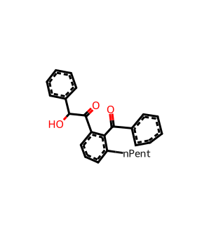 CCCCCc1cccc(C(=O)C(O)c2ccccc2)c1C(=O)c1ccccc1